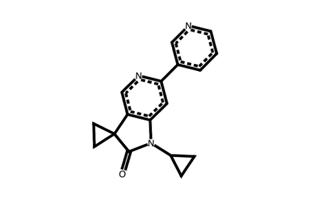 O=C1N(C2CC2)c2cc(-c3cccnc3)ncc2C12CC2